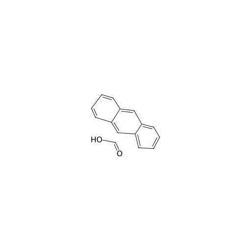 O=CO.c1ccc2cc3ccccc3cc2c1